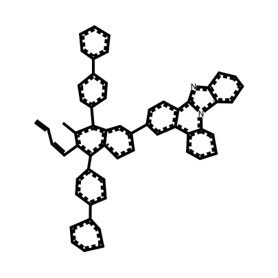 C=C/C=C\c1c(C)c(-c2ccc(-c3ccccc3)cc2)c2cc(-c3ccc4c(c3)c3ccccc3n3c5ccccc5nc43)ccc2c1-c1ccc(-c2ccccc2)cc1